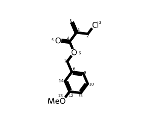 C=C(CCl)C(=O)OCc1cccc(OC)c1